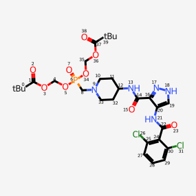 CC(C)(C)C(=O)OCOP(=O)(CN1CCC(NC(=O)c2n[nH]cc2NC(=O)c2c(Cl)cccc2Cl)CC1)OCOC(=O)C(C)(C)C